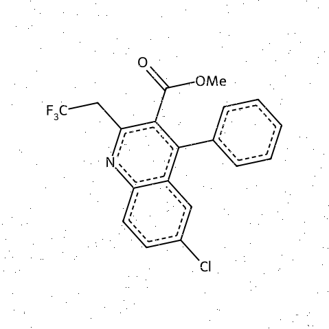 COC(=O)c1c(CC(F)(F)F)nc2ccc(Cl)cc2c1-c1ccccc1